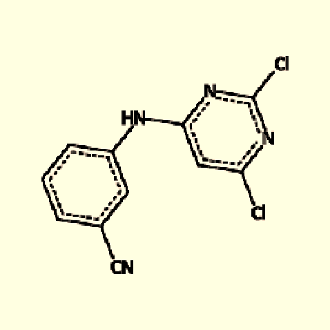 N#Cc1cccc(Nc2cc(Cl)nc(Cl)n2)c1